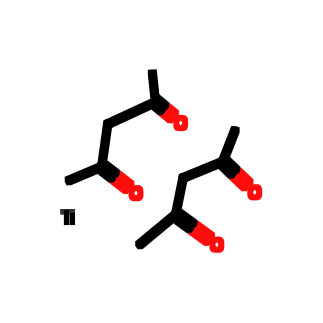 CC(=O)CC(C)=O.CC(=O)CC(C)=O.[Ti]